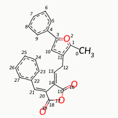 Cc1oc(-c2ccccc2)cc1CC=C1C(=O)OC(=O)C1=Cc1ccccc1